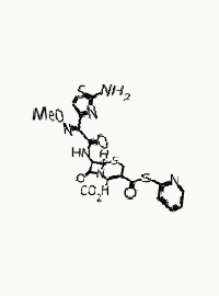 CON=C(C(=O)NC1C(=O)N2C(C(=O)O)=C(C(=O)Sc3ccccn3)CS[C@@H]12)c1csc(N)n1